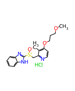 COCCCOc1ccnc(C[S+]([O-])c2nc3ccccc3[nH]2)c1C.Cl